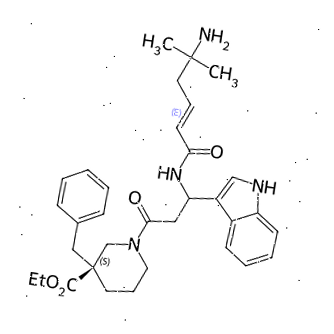 CCOC(=O)[C@]1(Cc2ccccc2)CCCN(C(=O)CC(NC(=O)/C=C/CC(C)(C)N)c2c[nH]c3ccccc23)C1